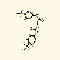 CC(C)(C)c1ccc(OC(=O)OOC(=O)Oc2ccc(C(C)(C)C)cc2)cc1